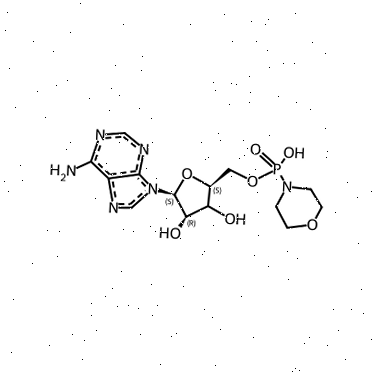 Nc1ncnc2c1ncn2[C@H]1O[C@@H](COP(=O)(O)N2CCOCC2)C(O)[C@H]1O